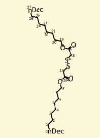 CCCCCCCCCCCCCCCCCCOC(=O)CSSCC(=O)OCCCCCCCCCCCCCCCCCC